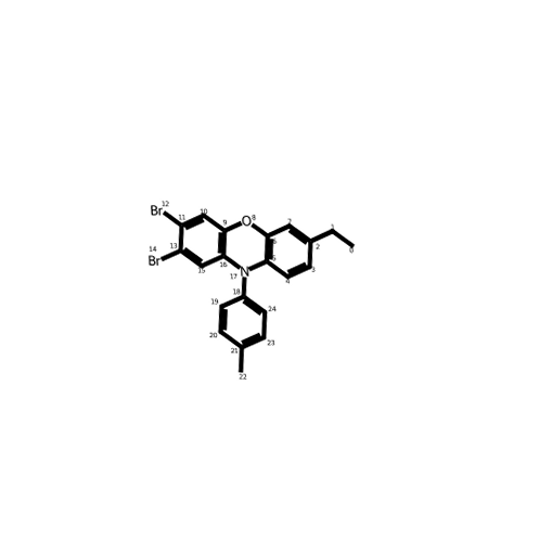 CCc1ccc2c(c1)Oc1cc(Br)c(Br)cc1N2c1ccc(C)cc1